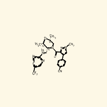 C[C@@H]1CN(C(=O)c2nn(C)cc2-c2ccc(C#N)cc2)[C@H](CNc2ncc(C(F)(F)F)cn2)[C@H](C)O1